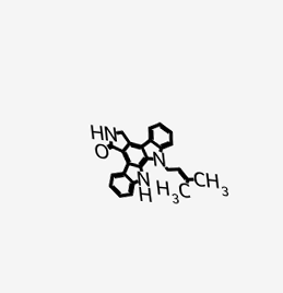 CC(C)=CCn1c2ccccc2c2c3c(c4c5ccccc5[nH]c4c21)C(=O)NC3